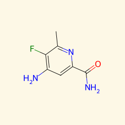 Cc1nc(C(N)=O)cc(N)c1F